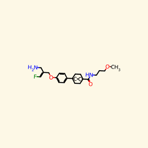 COCCCNC(=O)C12CCC(c3ccc(OCC(=CF)CN)cc3)(CC1)CC2